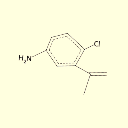 C=C(C)c1cc(N)ccc1Cl